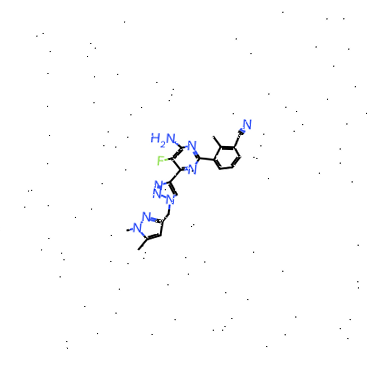 Cc1c(C#N)cccc1-c1nc(N)c(F)c(-c2cn(Cc3cc(C)n(C)n3)nn2)n1